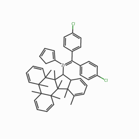 CC1=CC=CC2[CH]([Zr]([C]3=CC=CC3)=[C](c3ccc(Cl)cc3)c3ccc(Cl)cc3)C3(C)C4(C)C=CC=CC4(C)C4(C)C=CC=CC4(C)C3(C)C12C